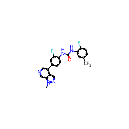 Cn1ncc2c(-c3ccc(NC(=O)Nc4cc(C(F)(F)F)ccc4F)c(F)c3)cncc21